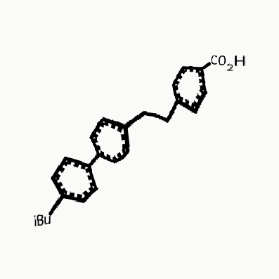 CCC(C)c1ccc(-c2ccc(CCc3ccc(C(=O)O)cc3)cc2)cc1